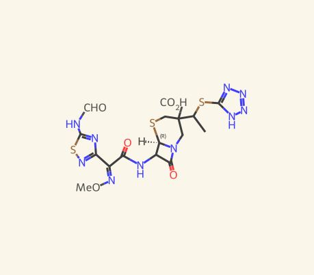 CON=C(C(=O)NC1C(=O)N2CC(C(=O)O)(C(C)Sc3nnn[nH]3)CS[C@H]12)c1nsc(NC=O)n1